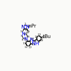 CCCn1cnc(CN2CCN(c3cccc4[nH]c(-c5ccc(C(C)(C)C)cc5)nc34)CC2)c1C